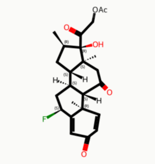 CC(=O)OCC(=O)[C@@]1(O)[C@H](C)C[C@H]2[C@@H]3C[C@H](F)C4=CC(=O)C=C[C@]4(C)[C@H]3C(=O)C[C@@]21C